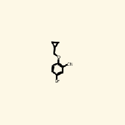 N#Cc1cc(Br)ccc1OCC1CC1